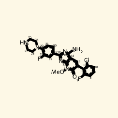 COn1c(=O)c(-c2c(F)cccc2Cl)cc2c(N)nc(-c3ccc(N4CCNCC4)c(F)c3)nc21